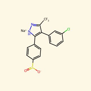 O=S([O-])c1ccc(-c2[nH]nc(C(F)(F)F)c2-c2cccc(Cl)c2)cc1.[Na+]